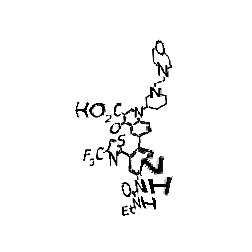 CCNC(=O)Nc1cc(-c2nc(C(F)(F)F)cs2)c(-c2ccc3c(c2)c(=O)c(C(=O)O)cn3[C@@H]2CCCN(CCN3CCOCC3)C2)cn1